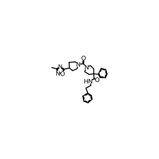 Cc1noc(C2CCN(C(=O)N3CCC(C(=O)NCCc4ccccc4)(c4ccccc4)CC3)CC2)n1